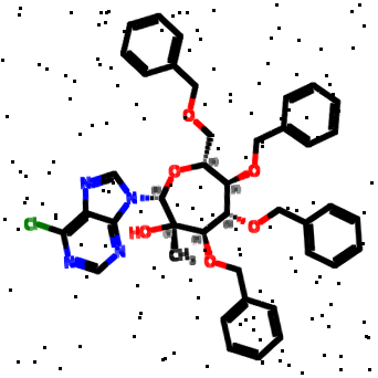 C[C@]1(O)[C@H](OCc2ccccc2)[C@@H](OCc2ccccc2)[C@H](OCc2ccccc2)[C@@H](COCc2ccccc2)O[C@H]1n1cnc2c(Cl)ncnc21